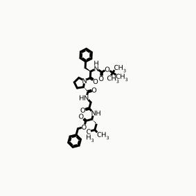 CC(C)C[C@@H](NC(=O)CNC(=O)[C@@H]1CCCN1C(=O)[C@@H](Cc1ccccc1)NC(=O)OC(C)(C)C)C(=O)OCc1ccccc1